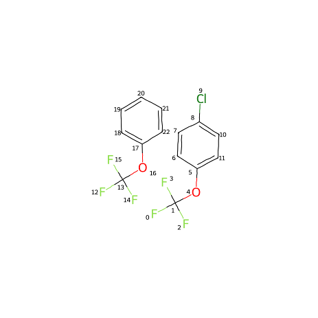 FC(F)(F)Oc1ccc(Cl)cc1.FC(F)(F)Oc1ccccc1